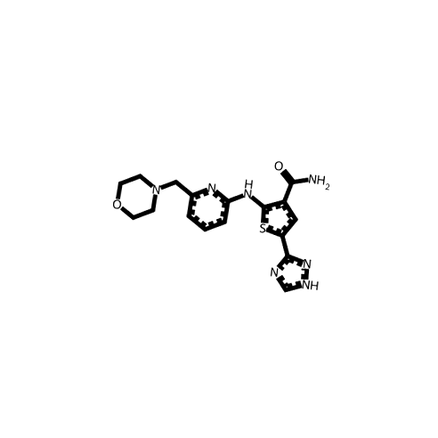 NC(=O)c1cc(-c2nc[nH]n2)sc1Nc1cccc(CN2CCOCC2)n1